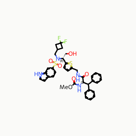 COC(=O)N[C@H](C(=O)NCc1ccc([C@@H](CO)N(CC2CC(F)(F)C2)S(=O)(=O)c2ccc3cc[nH]c3c2)s1)C(c1ccccc1)c1ccccc1